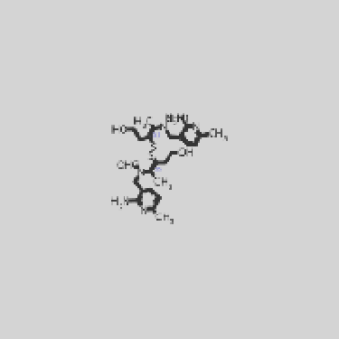 C/C(=C(\CCO)SS/C(CCO)=C(/C)N(C=O)Cc1ccc(C)nc1N)N(C=O)Cc1ccc(C)nc1N